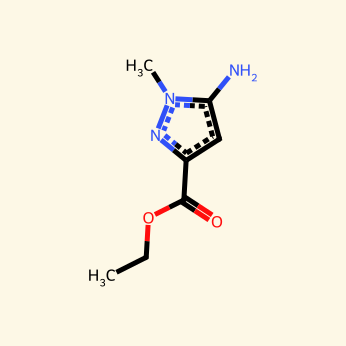 CCOC(=O)c1cc(N)n(C)n1